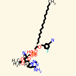 CCCCCCCCCCCCCCCCCCC[C@@H](COP(=O)(O)OC[C@@]1(C#N)O[C@@H](c2ccc3c(N)ncnn23)[C@@H]2OC(C)(C)O[C@@H]21)OCc1cc(F)cc(C#N)c1